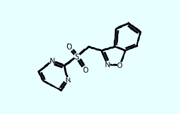 O=S(=O)(Cc1noc2ccccc12)c1ncccn1